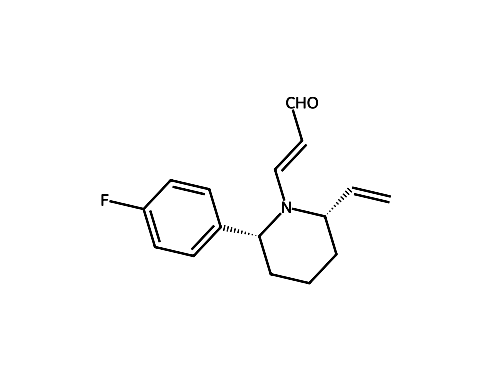 C=C[C@@H]1CCC[C@H](c2ccc(F)cc2)N1C=CC=O